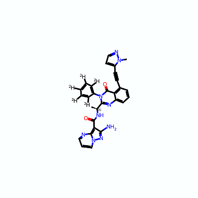 [2H]c1c([2H])c([2H])c(-n2c([C@H](C)NC(=O)c3c(N)nn4cccnc34)nc3cccc(C#Cc4ccnn4C)c3c2=O)c([2H])c1[2H]